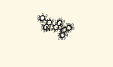 c1ccc(-c2ccc(-c3ccc4c5c(cccc35)-c3c-4c4ccccc4c4ccccc34)c3ncccc23)cc1